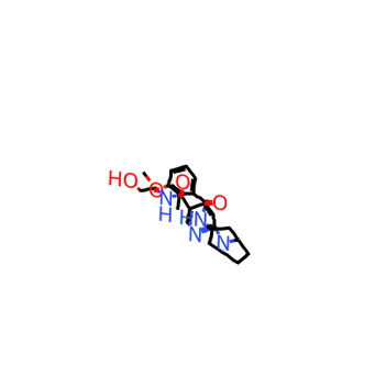 COc1cccc(C(=O)NC2CC3CCC(C2)N3c2ccc(C(=O)NCCO)cn2)c1C